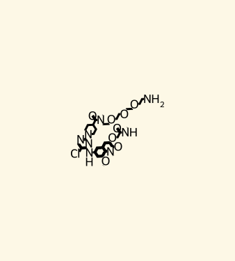 CNC(=O)COc1cc2cc(Nc3nc(N4CCC(C(=O)N(C)CCOCCOCCOCCN)CC4)ncc3Cl)cc(OC)c2n(C)c1=O